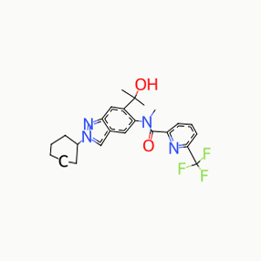 CN(C(=O)c1cccc(C(F)(F)F)n1)c1cc2cn(C3CCCCC3)nc2cc1C(C)(C)O